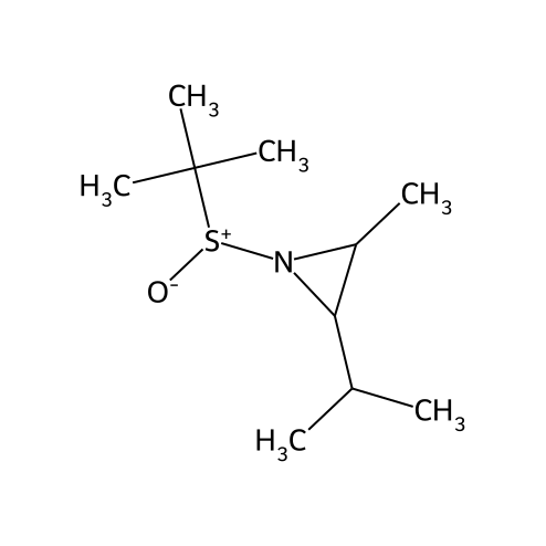 CC(C)C1C(C)N1[S+]([O-])C(C)(C)C